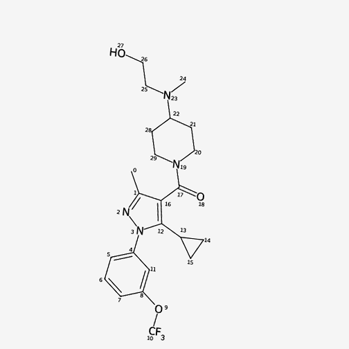 Cc1nn(-c2cccc(OC(F)(F)F)c2)c(C2CC2)c1C(=O)N1CCC(N(C)CCO)CC1